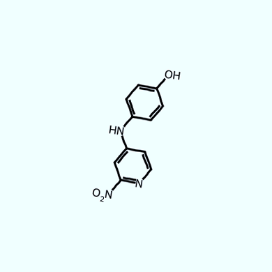 O=[N+]([O-])c1cc(Nc2ccc(O)cc2)ccn1